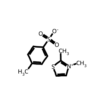 Cc1ccc(S(=O)(=O)[O-])cc1.Cc1scc[n+]1C